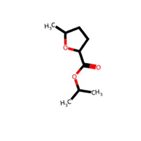 CC(C)OC(=O)C1CCC(C)O1